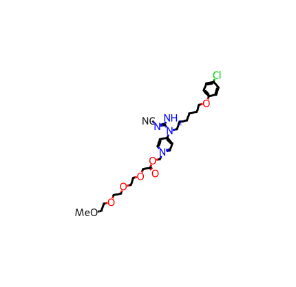 COCCOCCOCCOCC(=O)OC[n+]1ccc(N(CCCCCCOc2ccc(Cl)cc2)C(N)=NC#N)cc1